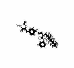 CCOC(Cc1ccc(OCCN(CC(F)(F)C(F)(F)C(F)(F)C(F)(F)C(F)(F)F)C(=O)Oc2ccccc2)cc1)C(=O)O